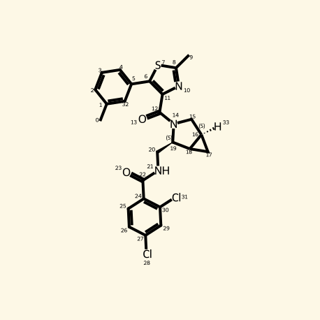 Cc1cccc(-c2sc(C)nc2C(=O)N2C[C@H]3CC3[C@H]2CNC(=O)c2ccc(Cl)cc2Cl)c1